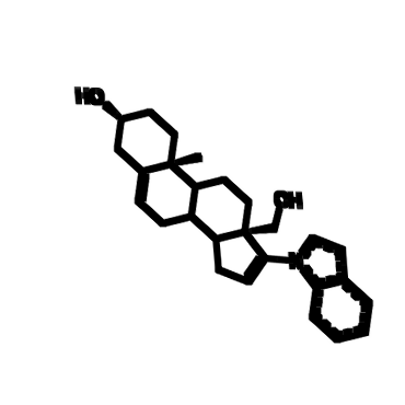 C[C@]12CC[C@H](O)CC1=CCC1C3CC=C(n4ccc5ccccc54)[C@@]3(CO)CCC12